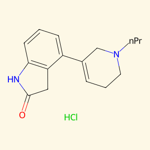 CCCN1CCC=C(c2cccc3c2CC(=O)N3)C1.Cl